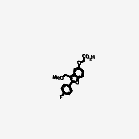 COCc1c(-c2ccc(F)cc2)oc2ccc(OCC(=O)O)cc12